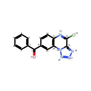 O=C(c1ccccc1)c1ccc2nc(Cl)c3nnnn3c2c1